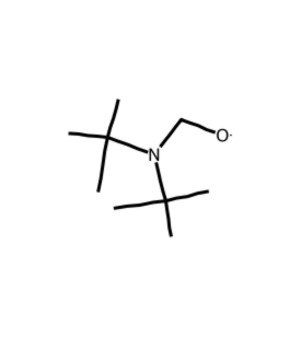 CC(C)(C)N(C[O])C(C)(C)C